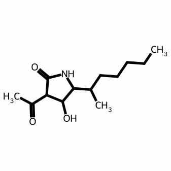 CCCCCC(C)C1NC(=O)C(C(C)=O)C1O